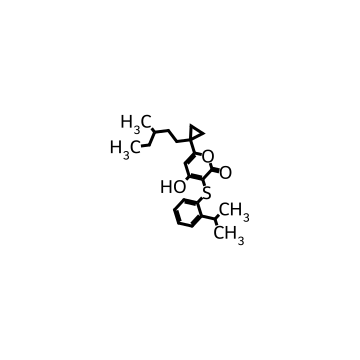 CCC(C)CCC1(c2cc(O)c(Sc3ccccc3C(C)C)c(=O)o2)CC1